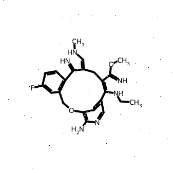 CCN/C1=C(\C(=N)OC)C/C(=C/NC)C(=N)c2ccc(F)cc2COc2cc1cnc2N